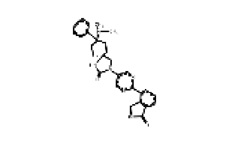 CN(C)[C@]1(c2ccccc2)CC[C@]2(CC1)CN(c1cnc(-c3cccc4c3CNC4=O)nc1)C(=O)N2